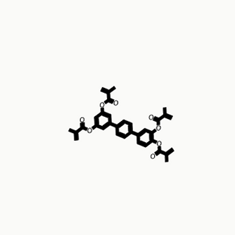 C=C(C)C(=O)Oc1cc(OC(=O)C(=C)C)cc(-c2ccc(-c3ccc(OC(=O)C(=C)C)c(OC(=O)C(=C)C)c3)cc2)c1